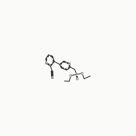 CCOP(=O)(Cc1ccc(-c2cccnc2C#N)cn1)OCC